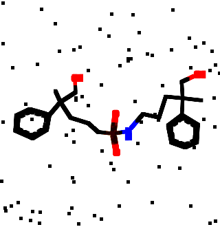 CC(CO)(CCCNS(=O)(=O)CCCC(C)(CO)c1ccccc1)c1ccccc1